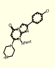 CCCCCn1c(N2CCNCC2)cc(=O)n2cc(-c3ccc(Cl)cc3)nc12